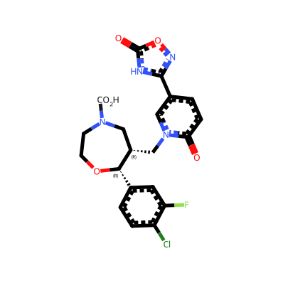 O=C(O)N1CCO[C@@H](c2ccc(Cl)c(F)c2)[C@@H](Cn2cc(-c3noc(=O)[nH]3)ccc2=O)C1